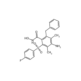 Cc1c(N)c(C)c(S(=O)(=O)c2ccc(F)cc2)c(C(=O)NO)c1Cc1ccccc1